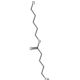 CCCCCC(=O)OCCCCCCl